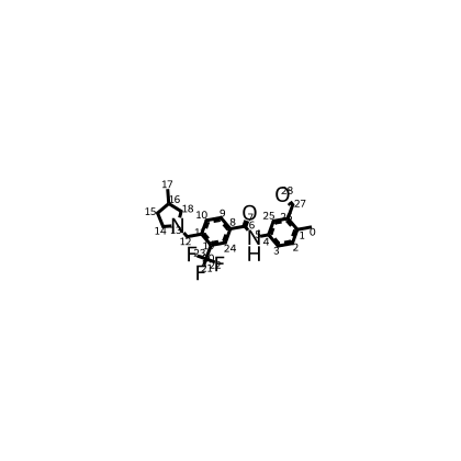 Cc1ccc(NC(=O)c2ccc(CN3CCC(C)C3)c(C(F)(F)F)c2)cc1C=O